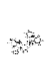 O=P(CC1CCCN2C1=Nc1ccccc1C2O)(c1ccccc1)c1ccccc1